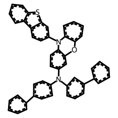 c1ccc(-c2ccc(N(c3cccc(-c4ccccc4)c3)c3ccc4c(c3)Oc3ccccc3N4c3ccc4c(c3)sc3ccccc34)cc2)cc1